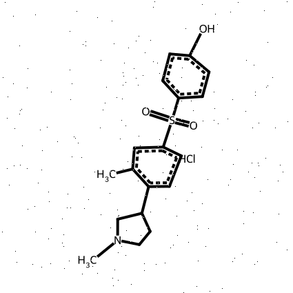 Cc1cc(S(=O)(=O)c2ccc(O)cc2)ccc1C1CCN(C)C1.Cl